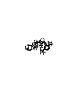 COc1ccc(C(F)(F)F)cc1Nc1nc(C(=O)NS(=O)(=O)N2CCCOCC2)co1